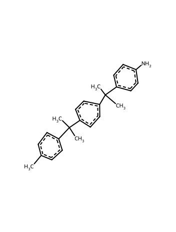 Cc1ccc(C(C)(C)c2ccc(C(C)(C)c3ccc(N)cc3)cc2)cc1